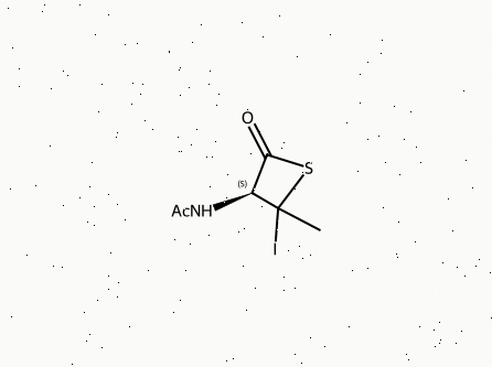 CC(=O)N[C@H]1C(=O)SC1(C)I